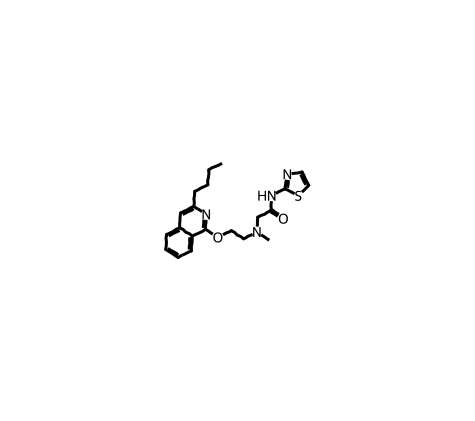 CCCCc1cc2ccccc2c(OCCN(C)CC(=O)Nc2nccs2)n1